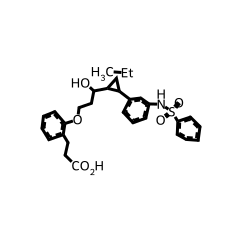 CCC.O=C(O)CCc1ccccc1OCCC(O)C1CC1c1cccc(NS(=O)(=O)c2ccccc2)c1